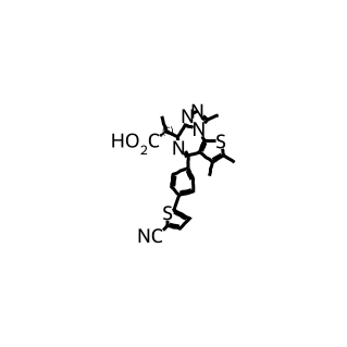 Cc1sc2c(c1C)C(c1ccc(-c3ccc(C#N)s3)cc1)=NC([C@H](C)C(=O)O)c1nnc(C)n1-2